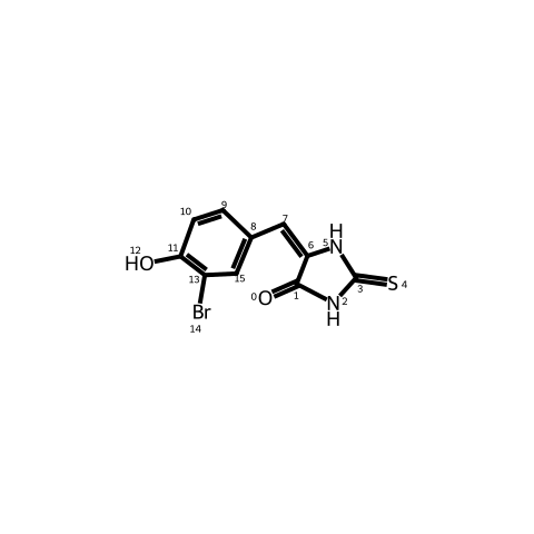 O=C1NC(=S)NC1=Cc1ccc(O)c(Br)c1